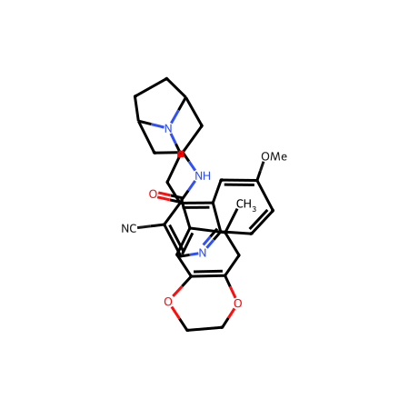 COc1ccc2ncc(C#N)c(CCN3C4CCC3CC(NC(=O)C3=CC5=C(CC3C)OCCO5)C4)c2c1